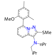 CCCN(CC(C)C)c1c(SC)nn2c(-c3c(C)cc(C)cc3OC)cccc12